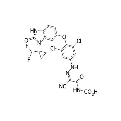 N#CC(=NNc1cc(Cl)c(Oc2ccc3[nH]c(=O)n(C4(C(F)F)CC4)c3c2)c(Cl)c1)C(=O)NC(=O)O